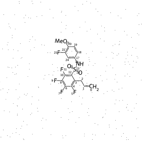 C=CCc1c(F)c(F)c(F)c(F)c1S(=O)(=O)Nc1ccc(OC)c(F)c1